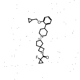 O=C(N1CC2(CC[C@H](N3CCC(c4ccccc4OCC4CC4)CC3)C2)C1)C1(F)CC1